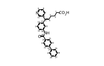 O=C(O)CCC/C=C(\c1cccnc1)c1cccc(NC(=O)c2ccc(-c3ccccc3)cc2)c1